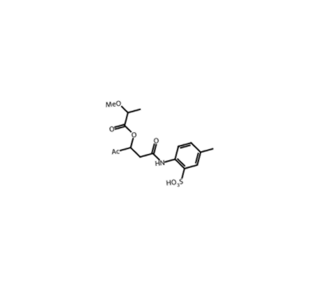 COC(C)C(=O)OC(CC(=O)Nc1ccc(C)cc1S(=O)(=O)O)C(C)=O